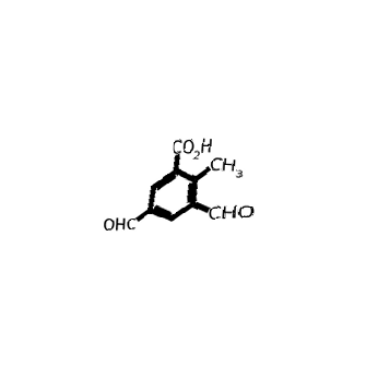 Cc1c(C=O)cc(C=O)cc1C(=O)O